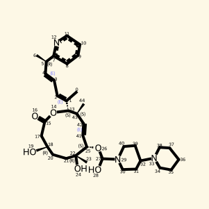 C/C(=C\C=C\[C@@H](C)c1ccccn1)[C@H]1OC(=O)C[C@H](O)CC[C@@](C)(O)[C@@H](OC(O)N2CCC(N3CCCCC3)CC2)/C=C/[C@@H]1C